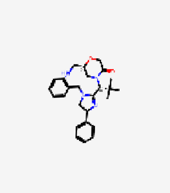 CC(C)(C)[C@H](C1=NC(c2ccccc2)CN1Cc1ccccc1)N1C[C@@H](CN)OCC1=O